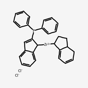 C1=CCC2CC[CH]([Zr+2][CH]3C(P(c4ccccc4)c4ccccc4)=Cc4ccccc43)C2=C1.[Cl-].[Cl-]